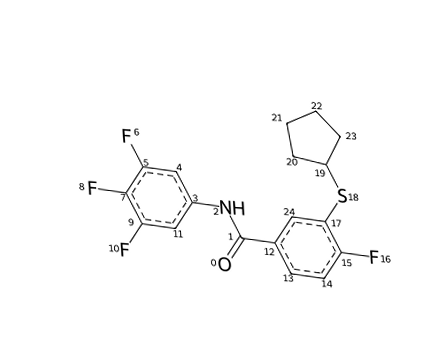 O=C(Nc1cc(F)c(F)c(F)c1)c1ccc(F)c(SC2CCCC2)c1